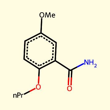 CCCOc1ccc(OC)cc1C(N)=O